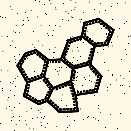 c1ccc2c(c1)cc1c3cccc4ccc5ccc6ccc2c1c6c5c43